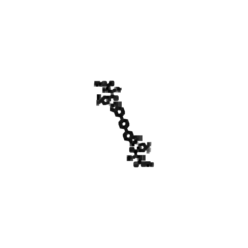 COC(=O)N[C@H](C(=O)N1CC(F)(F)C[C@H]1c1cc2cc(-c3ccc(-c4ccc5nc([C@@H]6CC(F)(F)CN6C(=O)[C@@H](NC(=O)OC)C(C)C)[nH]c5c4)cc3)ccc2[nH]1)C(C)C